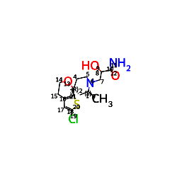 C[C@H]1C[C@@]2(CCN1CC(O)C(N)=O)OCCc1cc(Cl)sc12